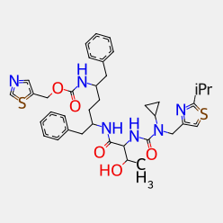 CC(C)c1nc(CN(C(=O)NC(C(=O)NC(CCC(Cc2ccccc2)NC(=O)OCc2cncs2)Cc2ccccc2)C(C)O)C2CC2)cs1